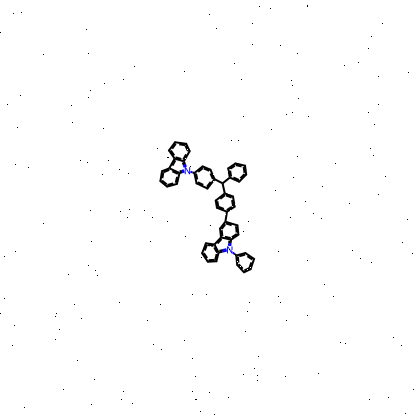 c1ccc(C(c2ccc(-c3ccc4c(c3)c3ccccc3n4-c3ccccc3)cc2)c2ccc(-n3c4ccccc4c4ccccc43)cc2)cc1